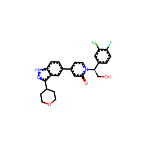 O=c1cc(-c2ccc3[nH]nc(C4CCOCC4)c3c2)ccn1[C@H](CO)c1ccc(F)c(Cl)c1